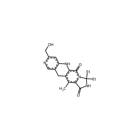 CCC1(CC)NC(=O)c2c(C)c3c(c(=O)n21)Nc1cc(CO)ncc1C3